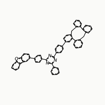 c1ccc(-c2nc(-c3ccc(-c4ccc5c(c4)-c4ccccc4Cc4ccccc4-c4ccccc4C5)cc3)nc(-c3ccc(-c4ccc5oc6ccccc6c5c4)cc3)n2)cc1